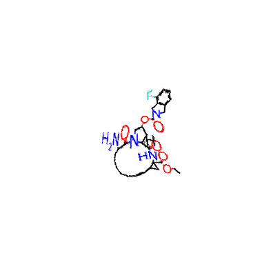 CCOC(=O)[C@@]12CC1/C=C\CCCCC[C@H](N)C(=O)N1C[C@H](OC(=O)N3Cc4cccc(F)c4C3)C[C@H]1C(=O)N2